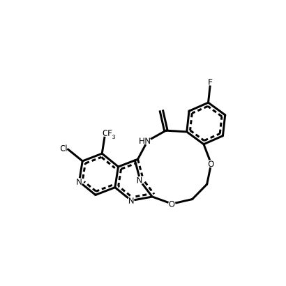 C=C1Nc2nc(nc3cnc(Cl)c(C(F)(F)F)c23)OCCOc2ccc(F)cc21